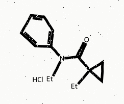 CCN(C(=O)C1(CC)CC1)c1ccccc1.Cl